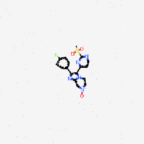 CS(=O)(=O)c1nccc(-c2c(-c3ccc(F)cc3)nc3c[n+]([O-])ccn23)n1